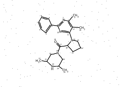 Cc1nc(-c2ccccc2)nc(N2CCCC2C(=O)N2CC(C)NC(C)C2)c1C